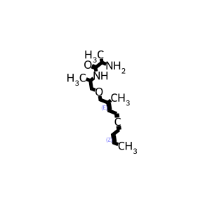 C/C=C\C=C=C/C=C(\C)COCC(C)NC(=O)C(C)N